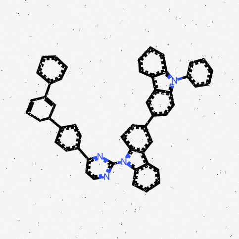 C1=CC(c2ccccc2)=CC(c2ccc(-c3ccnc(-n4c5ccccc5c5cc(-c6ccc7c(c6)c6ccccc6n7-c6ccccc6)ccc54)n3)cc2)C1